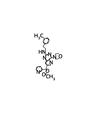 CC(=O)OC(c1cccnc1)c1cnc2c(N3CCOCC3)nc(NCCc3cccc(C)c3)nc2c1